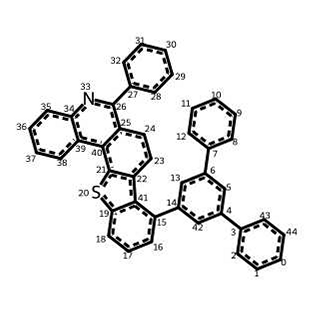 c1ccc(-c2cc(-c3ccccc3)cc(-c3cccc4sc5c(ccc6c(-c7ccccc7)nc7ccccc7c65)c34)c2)cc1